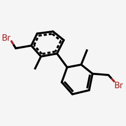 Cc1c(CBr)cccc1C1C=CC=C(CBr)C1C